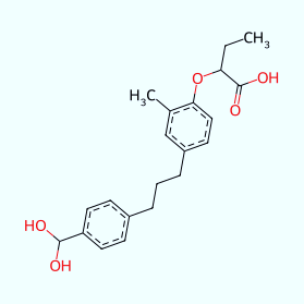 CCC(Oc1ccc(CCCc2ccc(C(O)O)cc2)cc1C)C(=O)O